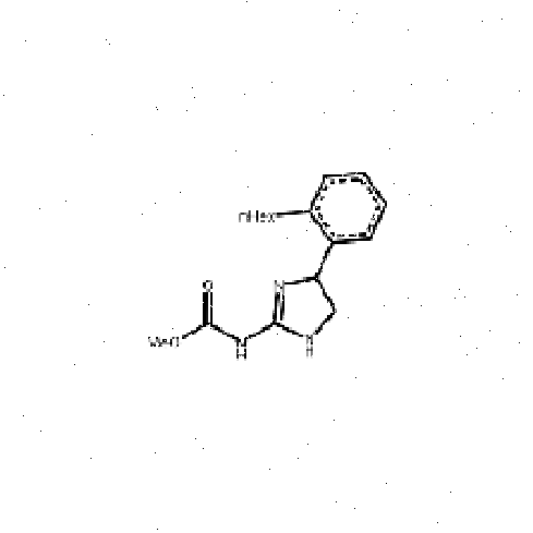 CCCCCCc1ccccc1C1CNC(NC(=O)OC)=N1